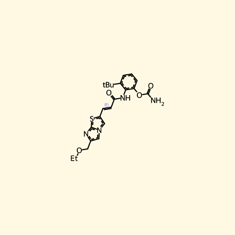 CCOCc1cn2cc(/C=C/C(=O)Nc3c(OC(N)=O)cccc3C(C)(C)C)sc2n1